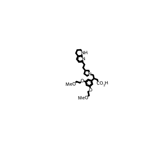 COCCOc1cc(OCCOC)cc(C(CC(=O)O)CN2CCC(CCc3ccc4c(n3)NCCC4)C2)c1